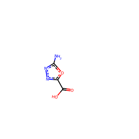 Nc1nnc(C(=O)O)o1